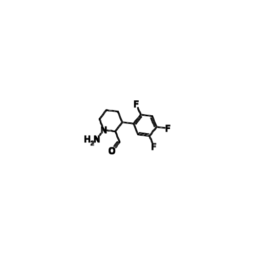 NN1CCCC(c2cc(F)c(F)cc2F)C1C=O